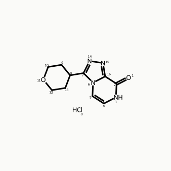 Cl.O=c1[nH]ccn2c(C3CCOCC3)nnc12